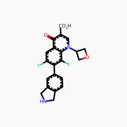 O=C(O)c1cn(C2COC2)c2c(F)c(-c3ccc4c(c3)CNC4)c(F)cc2c1=O